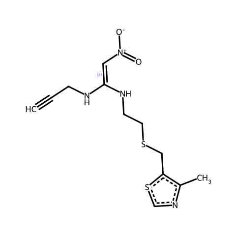 C#CCN/C(=C/[N+](=O)[O-])NCCSCc1scnc1C